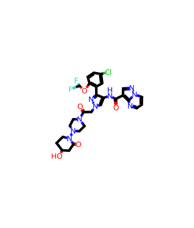 O=C(Nc1cn(CC(=O)N2CCN(N3CCC(O)CC3=O)CC2)nc1-c1cc(Cl)ccc1OC(F)F)c1cnn2cccnc12